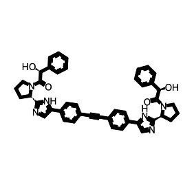 O=C([C@H](O)c1ccccc1)N1CCC[C@H]1c1ncc(-c2ccc(C#Cc3ccc(-c4cnc([C@@H]5CCCN5C(=O)[C@H](O)c5ccccc5)[nH]4)cc3)cc2)[nH]1